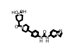 O=C(Nc1ccc(C2=CCN(C(=O)C3CCS(O)(O)CC3)CC2)cc1)Nc1ccc2nccn2c1